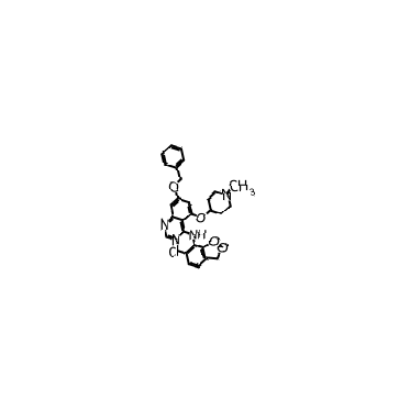 CN1CCC(Oc2cc(OCc3ccccc3)cc3ncnc(Nc4c(Cl)ccc5c4OOC5)c23)CC1